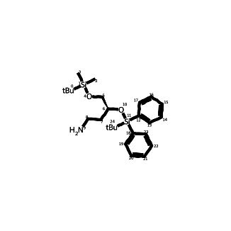 CC(C)(C)[Si](C)(C)OC[C@H](CCN)O[Si](c1ccccc1)(c1ccccc1)C(C)(C)C